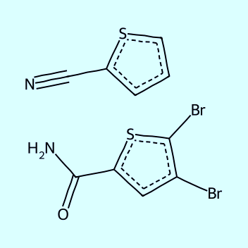 N#Cc1cccs1.NC(=O)c1cc(Br)c(Br)s1